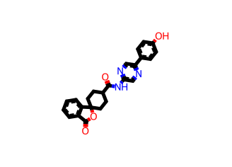 O=C1OC2(CCC(C(=O)Nc3cnc(-c4ccc(O)cc4)cn3)CC2)c2ccccc21